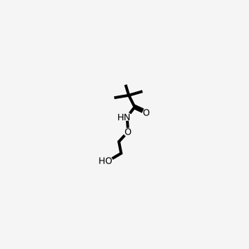 CC(C)(C)C(=O)NOCCO